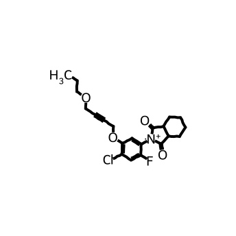 CCCOCC#CCOc1cc([N+]2C(=O)C3CCCCC3C2=O)c(F)cc1Cl